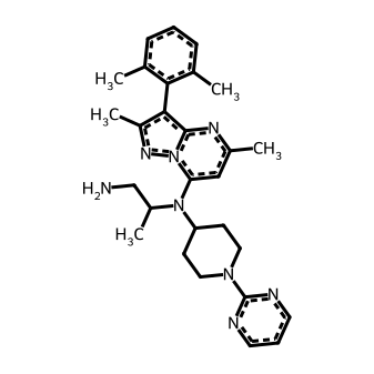 Cc1cc(N(C(C)CN)C2CCN(c3ncccn3)CC2)n2nc(C)c(-c3c(C)cccc3C)c2n1